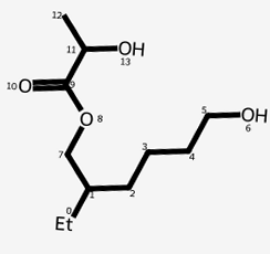 CCC(CCCCO)COC(=O)C(C)O